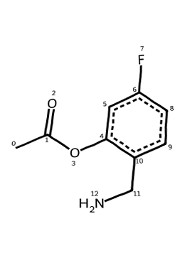 CC(=O)Oc1cc(F)ccc1CN